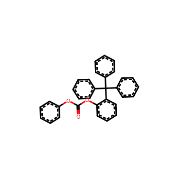 O=C(Oc1ccccc1)Oc1ccccc1C(c1ccccc1)(c1ccccc1)c1ccccc1